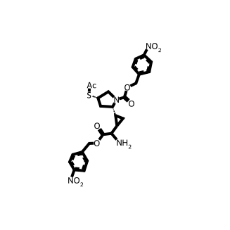 CC(=O)S[C@H]1C[C@@H](C2CC2C(N)C(=O)OCc2ccc([N+](=O)[O-])cc2)N(C(=O)OCc2ccc([N+](=O)[O-])cc2)C1